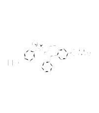 COc1ccc2c(c1)CCC(OS(=O)(=O)c1ccc(C)cc1)C2c1ccccc1